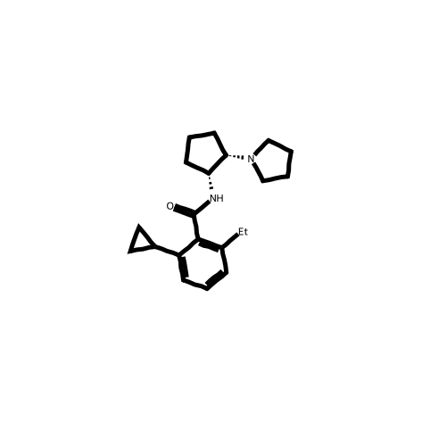 CCc1cccc(C2CC2)c1C(=O)N[C@@H]1CCC[C@@H]1N1CCCC1